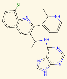 CC1NC=CC=C1c1nc2c(Cl)cccc2cc1C(C)Nc1ncnc2[nH]cnc12